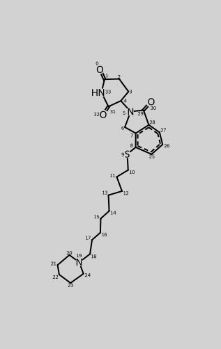 O=C1CCC(N2Cc3c(SCCCCCCCCCN4CCCCC4)cccc3C2=O)C(=O)N1